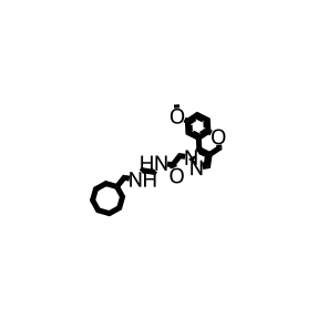 COc1ccc2c(c1)-c1c(cnn1CC(=O)NCCNCC1CCCCCCC1)CO2